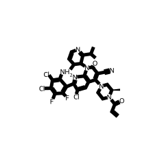 C=CC(=O)N1CCN(c2c(C#N)c(=O)n(C3C(C(C)C)=NC=CC3C)c3nc(-c4c(N)c(Cl)c(Cl)c(F)c4F)c(Cl)cc23)C[C@H]1C